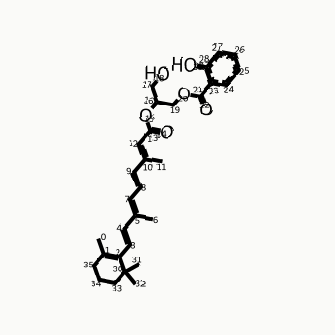 CC1=C(/C=C/C(C)=C/C=C/C(C)=C/C(=O)OC(CO)COC(=O)c2ccccc2O)C(C)(C)CCC1